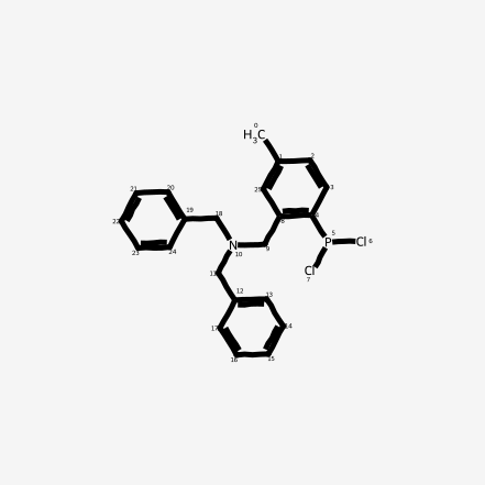 Cc1ccc(P(Cl)Cl)c(CN(Cc2ccccc2)Cc2ccccc2)c1